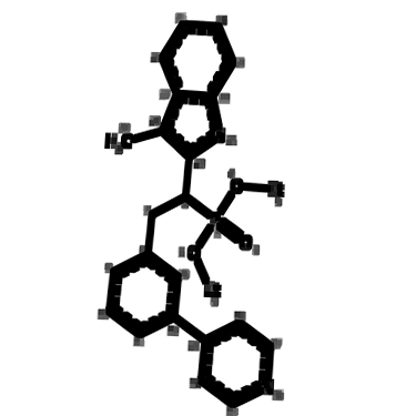 CCOP(=O)(OCC)C(Cc1cccc(-c2ccncc2)c1)c1sc2ccccc2c1C